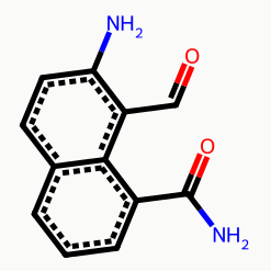 NC(=O)c1cccc2ccc(N)c(C=O)c12